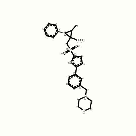 CC1[C@@H](c2ccccc2)C1(CS(=O)(=O)c1ccc(-c2cccc(CN3CCOCC3)c2)s1)C(=O)O